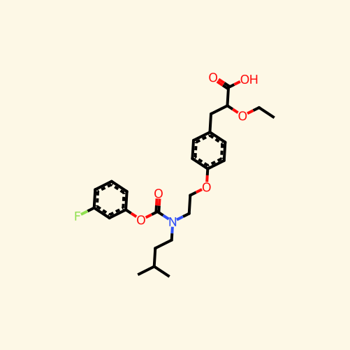 CCOC(Cc1ccc(OCCN(CCC(C)C)C(=O)Oc2cccc(F)c2)cc1)C(=O)O